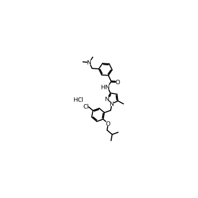 Cc1cc(NC(=O)c2cccc(CN(C)C)c2)nn1Cc1cc(Cl)ccc1OCC(C)C.Cl